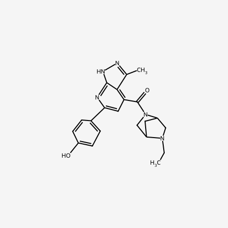 CCN1CC2CC1CN2C(=O)c1cc(-c2ccc(O)cc2)nc2[nH]nc(C)c12